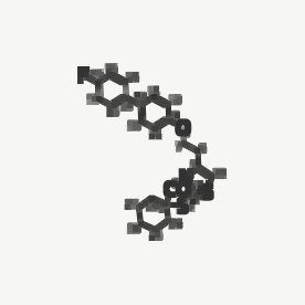 O=C(O)C1(Sc2nc(CCOc3ccc(-c4ccc(F)cc4)cc3)cs2)CCCCC1